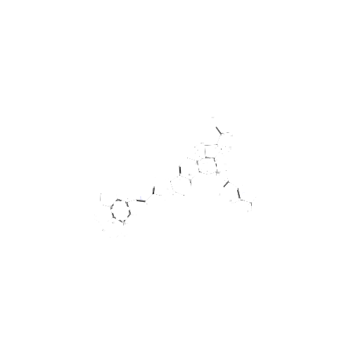 COc1cc(/C=C/C(=O)O[C@H]2CC[C@@]3(C)C(=CC[C@]4(O)C3C[C@@H](OC(=O)/C=C(\C)C(C)C)[C@]3(C)[C@@H](O)C(C(C)=O)C[C@@]34O)C2)cc(OC)c1OC